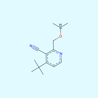 C[SiH](C)OCc1nccc(C(C)(C)C)c1C#N